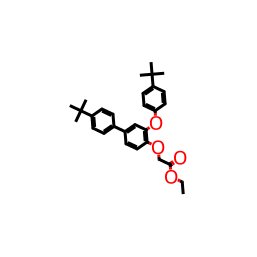 CCOC(=O)COc1ccc(-c2ccc(C(C)(C)C)cc2)cc1Oc1ccc(C(C)(C)C)cc1